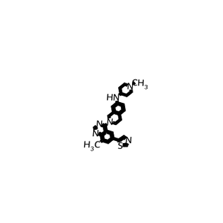 Cc1cc(-c2cncs2)cc2c(N3CCc4ccc(NC5CCN(C)CC5)cc4C3)ncnc12